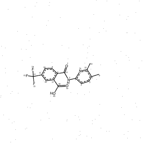 Cc1ccc(NC(=O)c2ccc(C(F)(F)F)cc2C(=O)O)nc1C